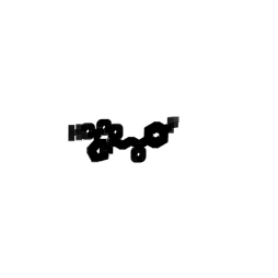 O=C(CCC(=O)N1CCC[C@H]1C(=O)O)c1ccc(F)cc1